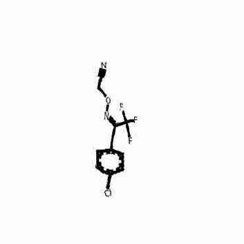 N#CCON=C(c1ccc(Cl)cc1)C(F)(F)F